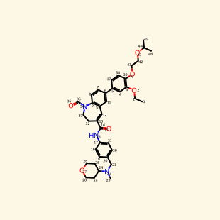 CCOc1cc(-c2ccc3c(c2)C=C(C(=O)Nc2ccc(CN(C)C4CCOCC4)cc2)CCN3C=O)ccc1OCCOC(C)C